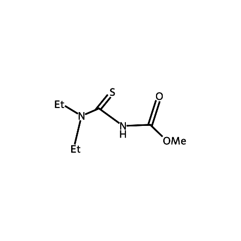 CCN(CC)C(=S)NC(=O)OC